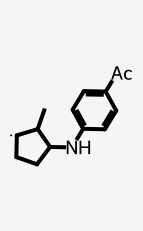 CC(=O)c1ccc(NC2CC[CH]C2C)cc1